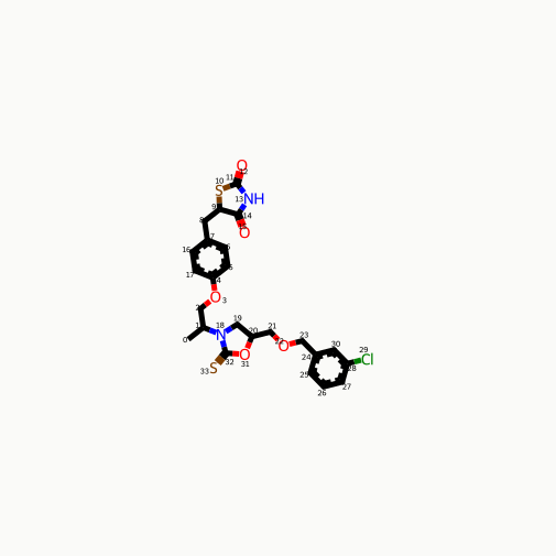 CC(COc1ccc(CC2SC(=O)NC2=O)cc1)N1CC(COCc2cccc(Cl)c2)OC1=S